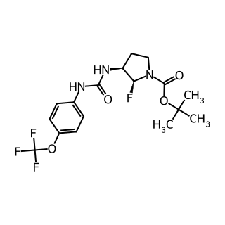 CC(C)(C)OC(=O)N1CC[C@H](NC(=O)Nc2ccc(OC(F)(F)F)cc2)[C@@H]1F